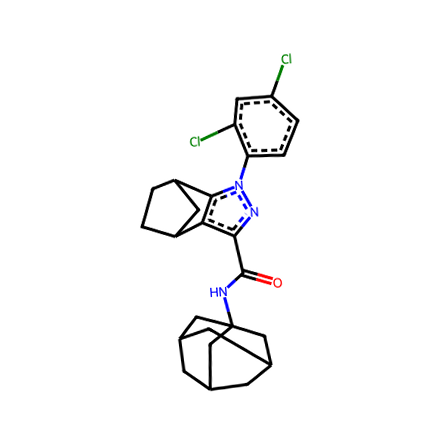 O=C(NC12CC3CC(CC(C3)C1)C2)c1nn(-c2ccc(Cl)cc2Cl)c2c1C1CCC2C1